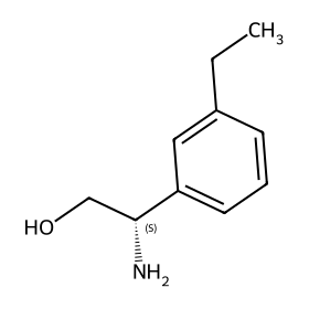 CCc1cccc([C@H](N)CO)c1